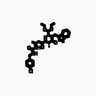 CCOC(OCC)[C@H](C)N(Cc1csc2ccccc12)C(=O)[C@H](C)NC(=O)CN(C)NC(=O)NCc1ccc(Cl)cc1